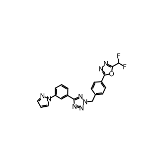 FC(F)c1nnc(-c2ccc(Cn3nnc(-c4cccc(-n5cccn5)c4)n3)cc2)o1